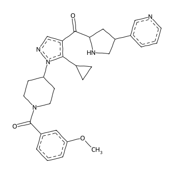 COc1cccc(C(=O)N2CCC(n3ncc(C(=O)C4CC(c5cccnc5)CN4)c3C3CC3)CC2)c1